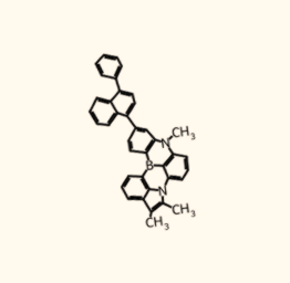 Cc1c(C)n2c3c(cccc13)B1c3ccc(-c4ccc(-c5ccccc5)c5ccccc45)cc3N(C)c3cccc-2c31